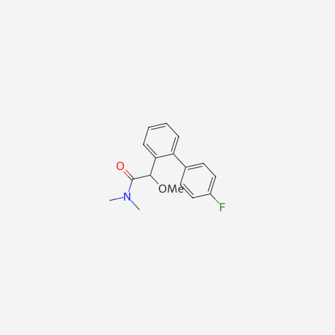 COC(C(=O)N(C)C)c1ccccc1-c1ccc(F)cc1